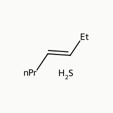 CC/C=C/CCC.S